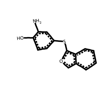 Nc1cc(Sc2occ3ccccc23)ccc1O